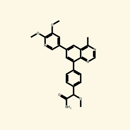 COc1cc(-c2cc(-c3ccc(C(OC)C(N)=O)cc3)c3ncnc(C)c3c2)cnc1OC